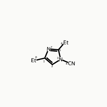 CCc1cn(C#N)c(CC)n1